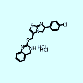 Cl.Cl.Clc1ccc(C2CN3C(CSC4=Nc5ccccc5CN4)=CSC3=N2)cc1